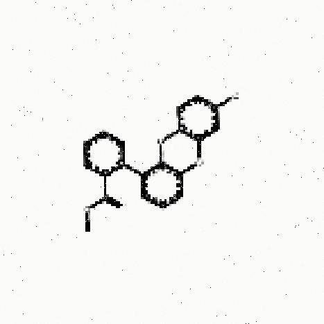 COC(=O)c1ccccc1-c1cccc2c1Oc1ccc(Cl)cc1O2